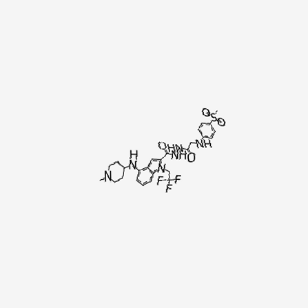 CN1CCC(Nc2cccc3c2cc(C(=O)NNC(=O)CNc2ccc(S(C)(=O)=O)cc2)n3CC(F)(F)F)CC1